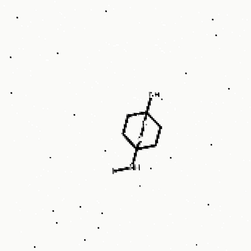 NC12CCC(NI)(CC1)CC2